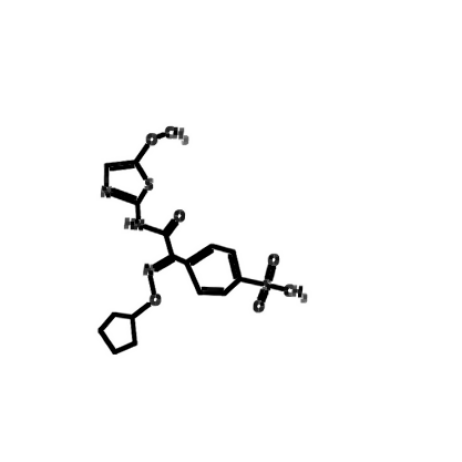 COc1cnc(NC(=O)/C(=N/OC2CCCC2)c2ccc(S(C)(=O)=O)cc2)s1